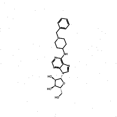 OC[C@H]1O[C@@H](n2cnc3c(NC4CCN(Cc5ccccc5)CC4)ncnc32)[C@H](O)[C@@H]1O